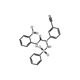 N#Cc1cccc(N(NS(=O)(=O)c2ccccc2)C(=O)Nc2ccccc2[N+](=O)[O-])c1